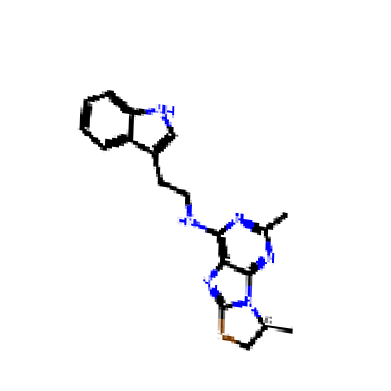 Cc1nc(NCCc2c[nH]c3ccccc23)c2nc3n(c2n1)[C@@H](C)CS3